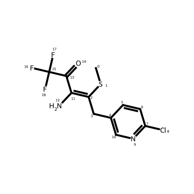 CSC(Cc1ccc(Cl)nc1)=C(N)C(=O)C(F)(F)F